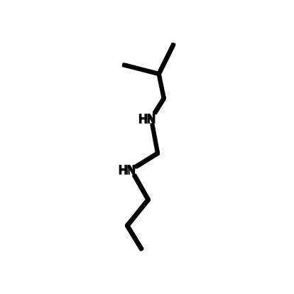 CCCNCNCC(C)C